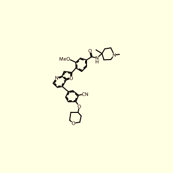 COc1cc(C(=O)NC2(C)CCN(C)CC2)ccc1-c1cc2nccc(-c3ccc(OC4CCOCC4)c(C#N)c3)c2o1